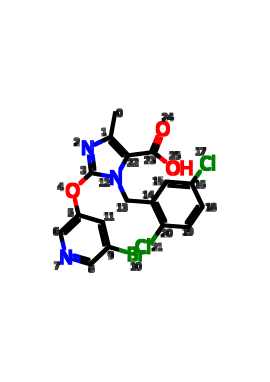 Cc1nc(Oc2cncc(Br)c2)n(Cc2cc(Cl)ccc2Cl)c1C(=O)O